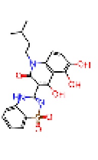 CC(C)CCn1c(=O)c(C2=NS(=O)(=O)c3ccccc3N2)c(O)c2c(O)c(O)ccc21